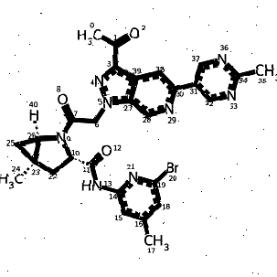 CC(=O)c1nn(CC(=O)N2[C@H](C(=O)Nc3cc(C)cc(Br)n3)C[C@@]3(C)C[C@@H]23)c2cnc(-c3cnc(C)nc3)cc12